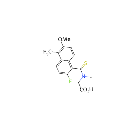 COc1ccc2c(C(=S)N(C)CC(=O)O)c(F)ccc2c1C(F)(F)F